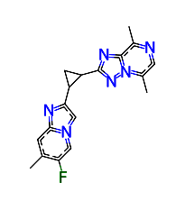 Cc1cc2nc(C3CC3c3nc4c(C)ncc(C)n4n3)cn2cc1F